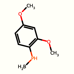 BPc1ccc(OC)cc1OC